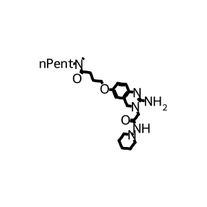 CCCCCN(C)C(=O)CCCOc1ccc2c(c1)CN(CC(=O)NN1CCCCC1)C(N)=N2